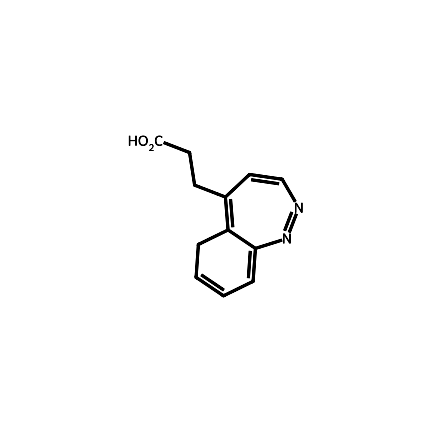 O=C(O)CCC1=C2CC=CC=C2N=NC=C1